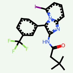 CC(C)(C)CC(=O)Nc1nc2cccc(I)n2c1-c1cccc(C(F)(F)F)c1